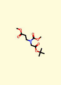 COC(=O)CCN(CC(=O)OC(C)(C)C)C(=O)OC